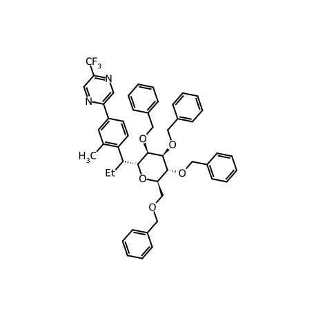 CCC(c1ccc(-c2cnc(C(F)(F)F)cn2)cc1C)[C@H]1O[C@H](COCc2ccccc2)[C@@H](OCc2ccccc2)[C@H](OCc2ccccc2)[C@@H]1OCc1ccccc1